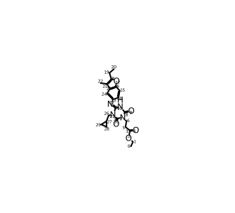 CCOC(=O)CCn1c(=O)[nH]/c(=N\c2ccc3oc(CC)c(C)c3c2)n(CC2CC2)c1=O